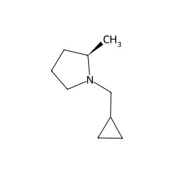 C[C@@H]1CCCN1CC1CC1